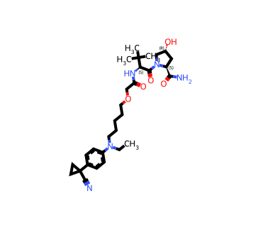 CCN(CCCCCOCC(=O)N[C@H](C(=O)N1C[C@H](O)C[C@H]1C(N)=O)C(C)(C)C)c1ccc(C2(C#N)CC2)cc1